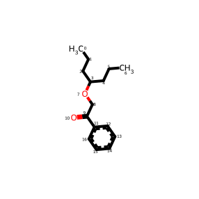 CCCC(CCC)OCC(=O)c1ccccc1